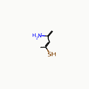 C=C(N)/C=C(\C)S